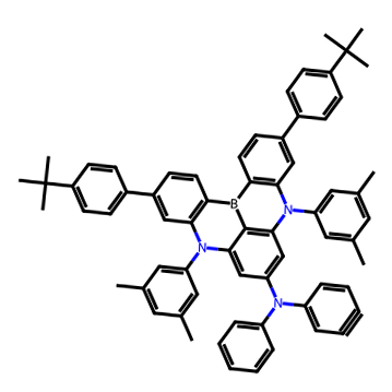 Cc1cc(C)cc(N2c3cc(-c4ccc(C(C)(C)C)cc4)ccc3B3c4ccc(-c5ccc(C(C)(C)C)cc5)cc4N(c4cc(C)cc(C)c4)c4cc(N(c5cc#ccc5)c5ccccc5)cc2c43)c1